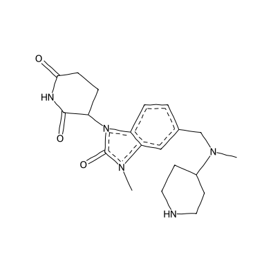 CN(Cc1ccc2c(c1)n(C)c(=O)n2C1CCC(=O)NC1=O)C1CCNCC1